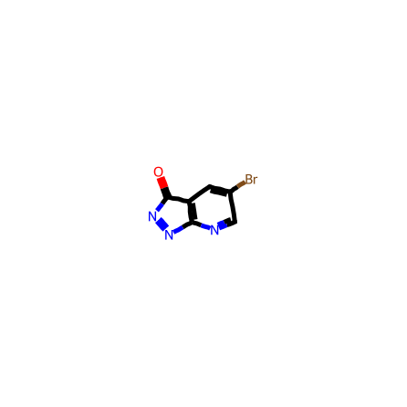 O=C1N=Nc2ncc(Br)cc21